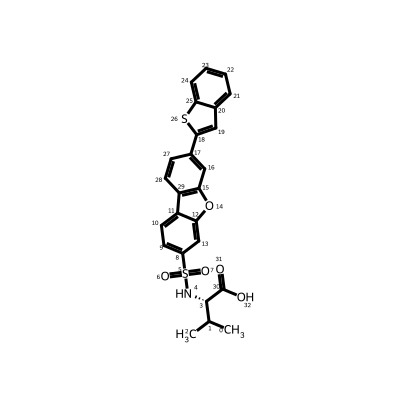 CC(C)[C@H](NS(=O)(=O)c1ccc2c(c1)oc1cc(-c3cc4ccccc4s3)ccc12)C(=O)O